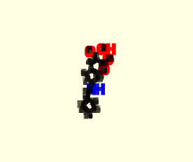 O=C(O)c1cc2ccc(NCc3ccccc3)cc2oc1=O